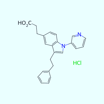 Cl.O=C(O)CCc1ccc2c(c1)c(CCc1ccccc1)cn2-c1cccnc1